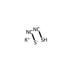 N#CS.N#C[S-].[K+]